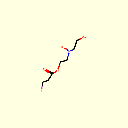 O=C(CCI)OCCN(O)CCO